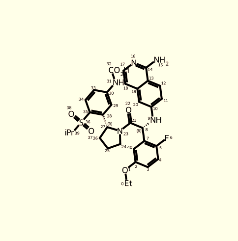 CCOc1ccc(F)c([C@@H](Nc2ccc3c(N)nccc3c2)C(=O)N2CCC[C@@H]2c2cc(NC(=O)O)ccc2S(=O)(=O)C(C)C)c1